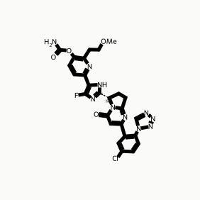 COCCc1nc(-c2[nH]c([C@@H]3CCc4nc(-c5cc(Cl)ccc5-n5cnnn5)cc(=O)n43)nc2F)ccc1OC(N)=O